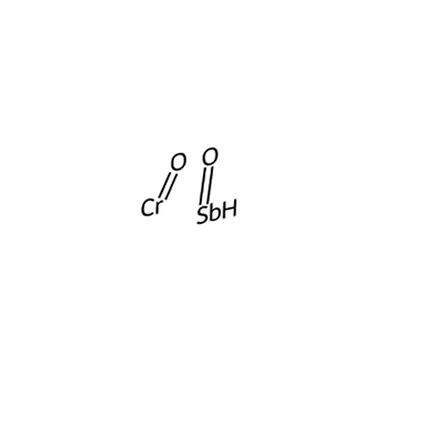 [O]=[Cr].[O]=[SbH]